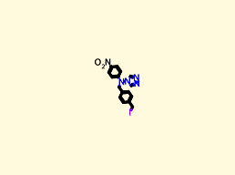 O=[N+]([O-])c1ccc(N(Cc2ccc(CI)cc2)n2cnnc2)cc1